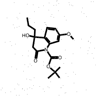 CCCC1(O)CC(=O)N(C(=O)OC(C)(C)C)c2cc(OC)ccc21